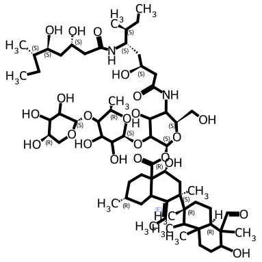 C/C=C1\C2C[C@H](C)CCC2(C(=O)O[C@@H]2O[C@H](CO)C(NC(=O)C[C@@H](O)C[C@H](NC(=O)C[C@@H](O)C[C@H](O)[C@@H](C)CC)[C@@H](C)CC)C(O)C2O[C@@H]2O[C@H](C)C(O[C@@H]3OC[C@@H](O)C(O)C3O)C(O)C2O)[C@H](O)C[C@@]1(C)[C@]1(C)CC[C@H]2C(C)(C=O)C(O)CCC2(C)C1C